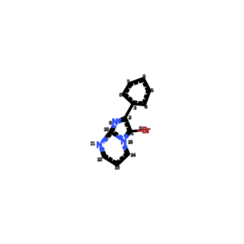 Brc1c(-c2ccccc2)nc2ncccn12